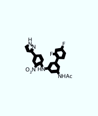 CC(=O)Nc1cc(Nc2ccc(-c3cc[nH]n3)cc2[N+](=O)[O-])cc(-c2ccc(F)cc2F)c1